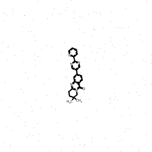 CC1(C)CCc2nc3cc(-c4cnc(-c5ccccn5)nc4)ccc3c(=O)n2C1